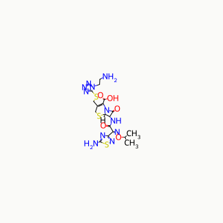 CC(C)ON=C(C(=O)NC1C(=O)N2C(C(=O)O)=C(CSc3nnnn3CCN)CS[C@@H]12)c1nsc(N)n1